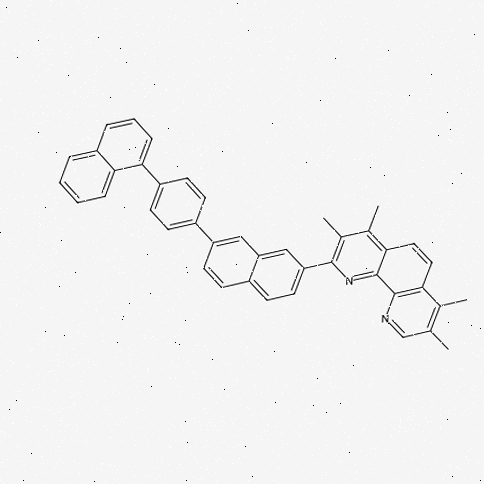 Cc1cnc2c(ccc3c(C)c(C)c(-c4ccc5ccc(-c6ccc(-c7cccc8ccccc78)cc6)cc5c4)nc32)c1C